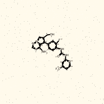 Nc1ncnn2cc(CO)c(-c3ccc(NC(=O)Nc4cc(C(F)(F)F)ccn4)c(F)c3)c12